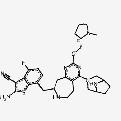 CN1CCC[C@H]1COc1nc2c(c(N3CC4CCC(C3)N4)n1)CCNC(Cc1ccc(F)c3c(C#N)c(N)sc13)C2